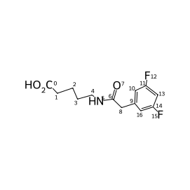 O=C(O)CCCCNC(=O)Cc1cc(F)cc(F)c1